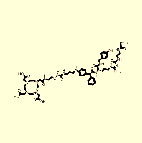 CCC(=O)NCCNC(=O)/N=C(/N)NCCC[C@@H](NC(=O)[C@@H](c1ccccc1)c1ccc(NCCCNC(=O)NOCCNC(=O)CN2CCN(CC(=O)O)CCN(CC(=O)O)CCN(CC(=O)O)CC2)cc1)C(=O)NCc1ccc(O)cc1